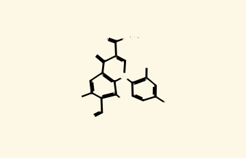 C=Cc1c(F)cc2c(=O)c(C(=O)OC)cn(-c3ccc(F)cc3F)c2c1F